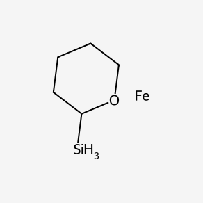 [Fe].[SiH3]C1CCCCO1